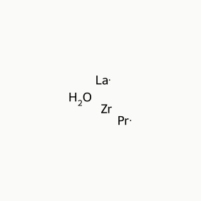 O.[La].[Pr].[Zr]